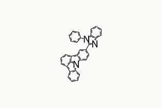 c1ccc(-n2c(-c3ccc4c(c3)c3cccc5c6ccccc6n4c53)nc3ccccc32)cc1